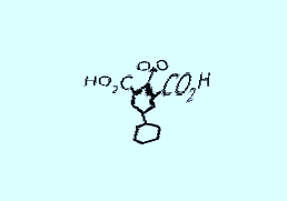 O=C(O)c1cc(C2CCCCC2)cc(C(=O)O)c1I(=O)=O